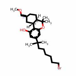 CO/C=C1\CC[C@@H]2[C@@H](C1)c1c(O)cc(C(C)(C)CCCCCCBr)cc1OC2(C)C